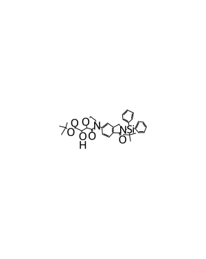 CC(C)(C)OC(=O)[C@H](O)[C@H]1OCCN(c2ccc3c(c2)CN([Si](c2ccccc2)(c2ccccc2)C(C)(C)C)C3=O)C1=O